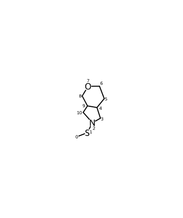 CSN1CC2CCOCC2C1